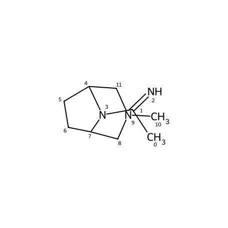 CC(=N)N1C2CCC1CN(C)C2